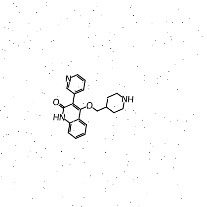 O=c1[nH]c2ccccc2c(OCC2CCNCC2)c1-c1cccnc1